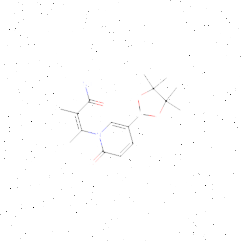 CC(C(N)=O)=C(C)n1cc(B2OC(C)(C)C(C)(C)O2)ccc1=O